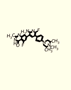 Cc1nc2cc(-c3cc(-c4ccc(N5C[C@@H](C)N(C)[C@@H](C)C5)cc4)c(F)nc3N)cc(F)c2c(=O)[nH]1